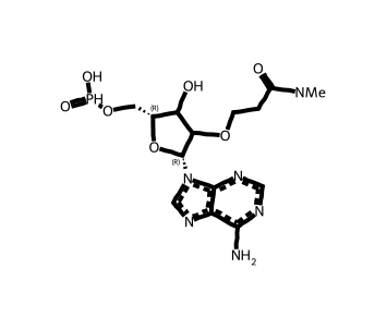 CNC(=O)CCOC1C(O)[C@@H](CO[PH](=O)O)O[C@H]1n1cnc2c(N)ncnc21